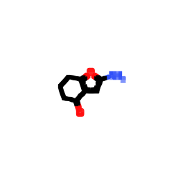 Nc1cc2c(o1)CCCC2=O